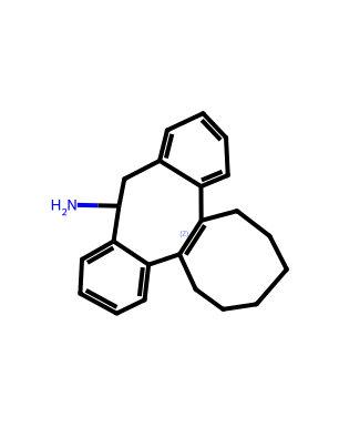 NC1Cc2ccccc2/C2=C(/CCCCCC2)c2ccccc21